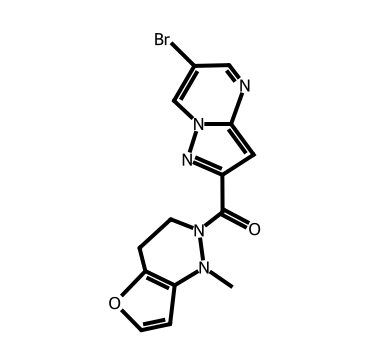 CN1c2ccoc2CCN1C(=O)c1cc2ncc(Br)cn2n1